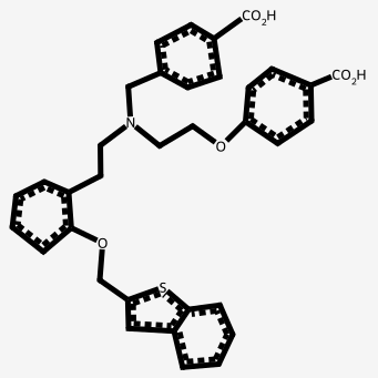 O=C(O)c1ccc(CN(CCOc2ccc(C(=O)O)cc2)CCc2ccccc2OCc2cc3ccccc3s2)cc1